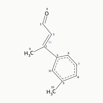 C/C(=C\C=O)c1cccc(C)c1